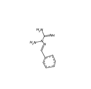 N=C(N)N(N)N=Cc1ccccc1